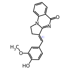 COc1cc(/C=C2\CCn3c2nc(=O)c2ccccc23)ccc1O